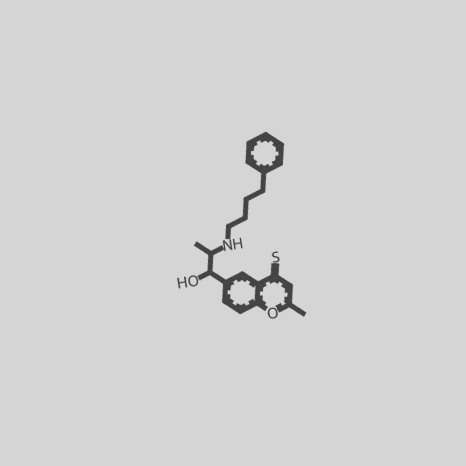 Cc1cc(=S)c2cc(C(O)C(C)NCCCCc3ccccc3)ccc2o1